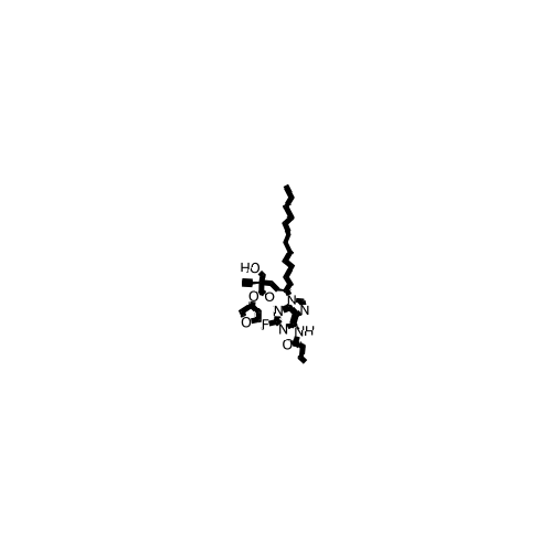 C#C[C@@](CO)(CC[C@@H](CCCCCCCCCCCC)n1cnc2c(NC(=O)CCC)nc(F)nc21)C(=O)OC1CCOC1